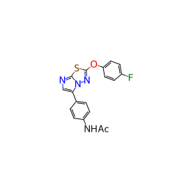 CC(=O)Nc1ccc(-c2cnc3sc(Oc4ccc(F)cc4)nn23)cc1